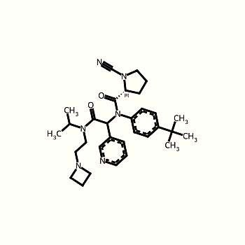 CC(C)N(CCN1CCC1)C(=O)C(c1cccnc1)N(C(=O)[C@H]1CCCN1C#N)c1ccc(C(C)(C)C)cc1